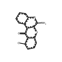 Nc1nc2ccccc2c2c(=O)c3c(Cl)cccc3sc12